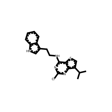 CC(C)c1csc2c(NCCc3c[nH]c4ccccc34)nc(Cl)nc12